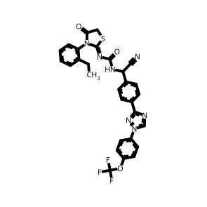 CCc1ccccc1N1C(=O)CS/C1=N\C(=O)NC(C#N)c1ccc(-c2ncn(-c3ccc(OC(F)(F)F)cc3)n2)cc1